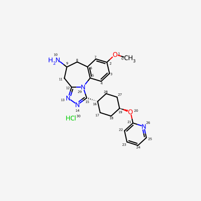 COc1ccc2c(c1)CC(N)Cc1nnc([C@H]3CC[C@H](Oc4ccccn4)CC3)n1-2.Cl